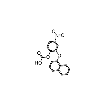 O=C(O)Oc1ccc([N+](=O)[O-])cc1Oc1cccc2ccccc12